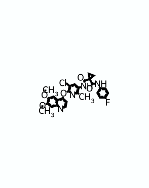 COc1cc2nccc(Oc3nc(C)c(NC(=O)C4(C(=O)Nc5ccc(F)cc5)CC4)cc3Cl)c2cc1OC